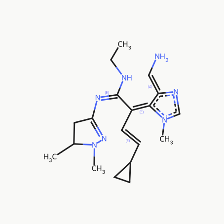 CCNC(=N/C1=NN(C)C(C)C1)/C(/C=C/C1CC1)=c1\c(=C\N)ncn1C